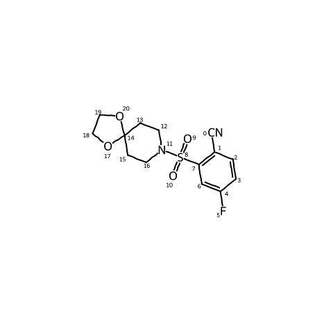 N#Cc1ccc(F)cc1S(=O)(=O)N1CCC2(CC1)OCCO2